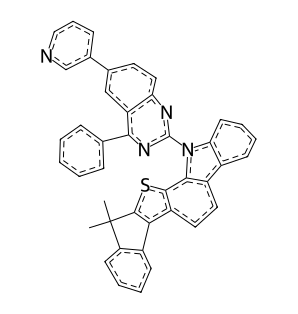 CC1(C)c2ccccc2-c2c1sc1c2ccc2c3ccccc3n(-c3nc(-c4ccccc4)c4cc(-c5cccnc5)ccc4n3)c21